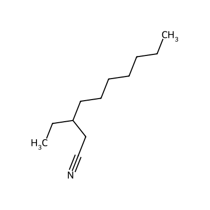 CCCCCCCC(CC)CC#N